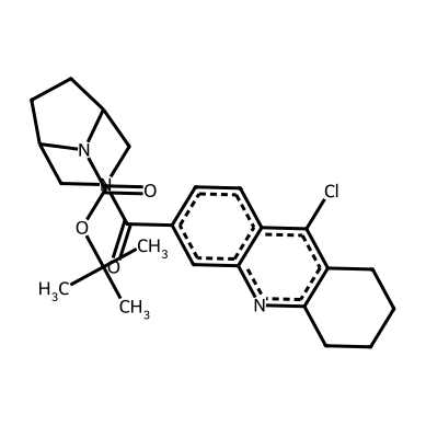 CC(C)(C)OC(=O)N1C2CCC1CN(C(=O)c1ccc3c(Cl)c4c(nc3c1)CCCC4)C2